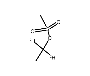 [2H]C([2H])(C)OS(C)(=O)=O